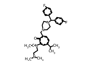 CCN(CCN(C)C)c1cc(C(C)C)ccc(CN2CCN(C(c3ccc(F)cc3)c3ccc(F)cc3)CC2)c1=O